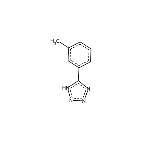 Cc1[c]ccc(-c2nnn[nH]2)c1